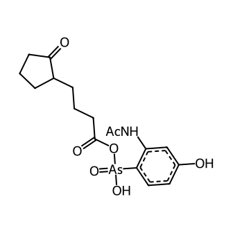 CC(=O)Nc1cc(O)ccc1[As](=O)(O)OC(=O)CCCC1CCCC1=O